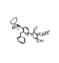 CO[C@H]1C(=O)N(c2ccc(C#CC3(N)CCCCC3)c(Cc3ccccc3)n2)C[C@H]1O